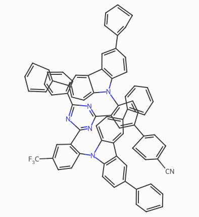 N#Cc1ccc(-c2ccc(-n3c4ccc(-c5ccccc5)cc4c4cc(-c5ccccc5)ccc43)c(-c3nc(-c4ccccc4)nc(-c4cc(C(F)(F)F)ccc4-n4c5ccc(-c6ccccc6)cc5c5cc(-c6ccccc6)ccc54)n3)c2)cc1